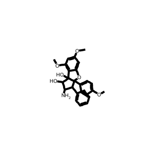 COc1ccc(C23Oc4cc(OC)cc(OC)c4C2(O)C(O)C(N)C3c2ccccc2)cc1